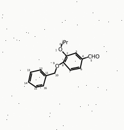 CC(C)Oc1cc(C=O)ccc1OCc1ccccc1